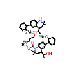 CCC=CCOC(C)C1=CC(C)(C)Nc2ccc(-c3ccccc3OC)cc21.COc1ccccc1-c1ccc2c(c1)C(C(C)O)=CC(C)(C)N2C(=O)OC(C)(C)C